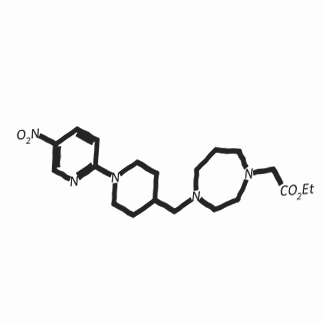 CCOC(=O)CN1CCCN(CC2CCN(c3ccc([N+](=O)[O-])cn3)CC2)CC1